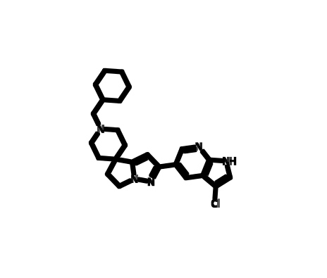 Clc1c[nH]c2ncc(-c3cc4n(n3)CCC43CCN(CC4CCCCC4)CC3)cc12